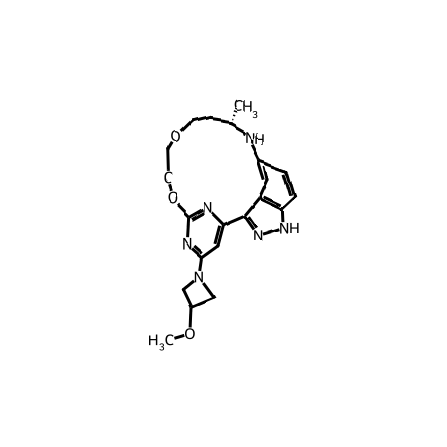 COC1CN(c2cc3nc(n2)OCCOCC[C@H](C)Nc2ccc4[nH]nc-3c4c2)C1